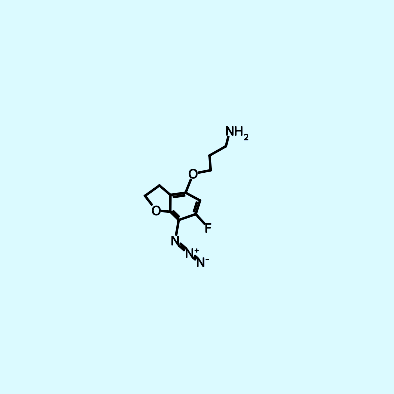 [N-]=[N+]=Nc1c(F)cc(OCCCN)c2c1OCC2